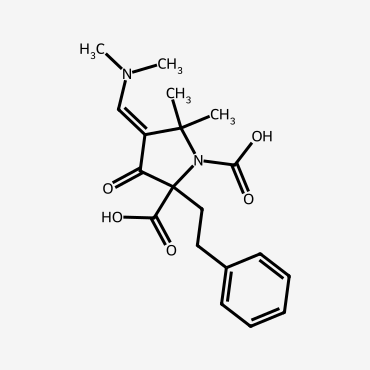 CN(C)C=C1C(=O)C(CCc2ccccc2)(C(=O)O)N(C(=O)O)C1(C)C